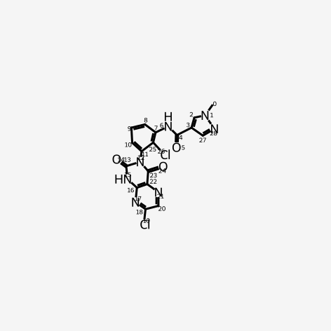 Cn1cc(C(=O)Nc2cccc(-n3c(=O)[nH]c4nc(Cl)cnc4c3=O)c2Cl)cn1